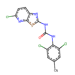 N#Cc1cc(Cl)c(NC(=O)Nc2nc3ccc(Cl)nc3s2)c(Cl)c1